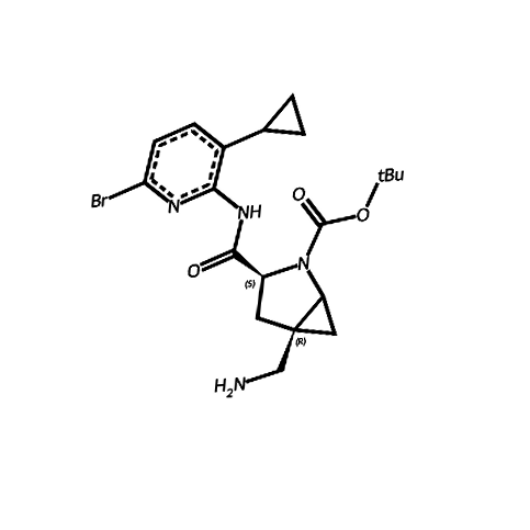 CC(C)(C)OC(=O)N1C2C[C@]2(CN)C[C@H]1C(=O)Nc1nc(Br)ccc1C1CC1